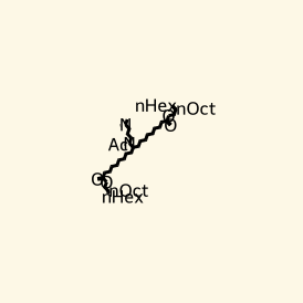 CCCCCCCCC(CCCCCC)COC(=O)CCCCCCCCC(CCCCCCCCC(=O)OCC(CCCCCC)CCCCCCCC)N(CCCN(C)C)C(C)=O